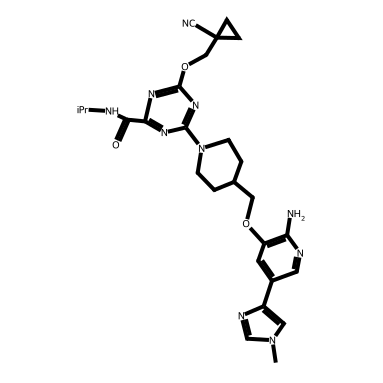 CC(C)NC(=O)c1nc(OCC2(C#N)CC2)nc(N2CCC(COc3cc(-c4cn(C)cn4)cnc3N)CC2)n1